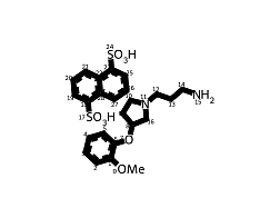 COc1ccccc1OC1CCN(CCCN)C1.O=S(=O)(O)c1cccc2c(S(=O)(=O)O)cccc12